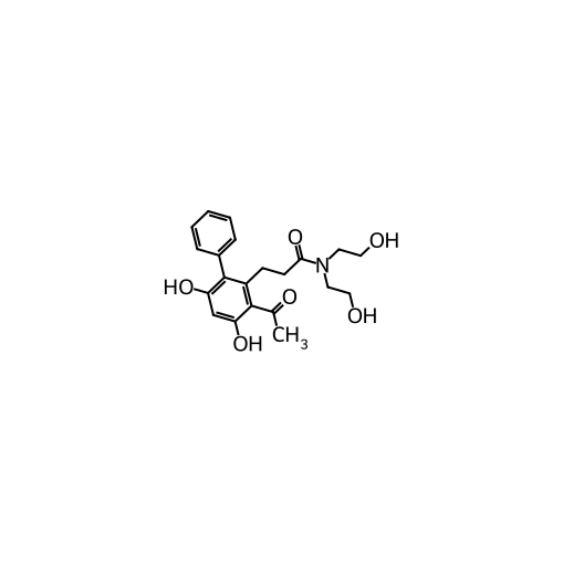 CC(=O)c1c(O)cc(O)c(-c2ccccc2)c1CCC(=O)N(CCO)CCO